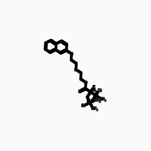 CCC(C)(C)CC(C)(C(=O)OCCOCCOc1ccc2ccccc2c1)C(C)(C)CC